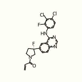 C=CC(=O)N1CC[C@@](F)(c2ccc3ncnc(Nc4ccc(Cl)c(Cl)c4F)c3c2)C1